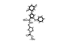 CC(C)(C)OC(=O)N1CCC(CNC(c2cc(-c3cc(F)ccc3F)cn2Cc2ccccc2)C(C)(C)C)C1